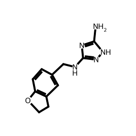 Nc1nc(NCc2ccc3c(c2)CCO3)n[nH]1